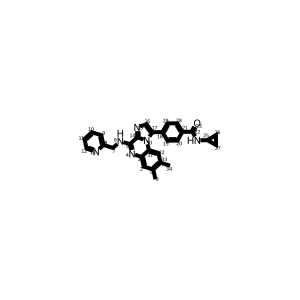 Cc1cc2nc(NCc3ccccn3)c3ncc(-c4ccc(C(=O)NC5CC5)cc4)n3c2cc1C